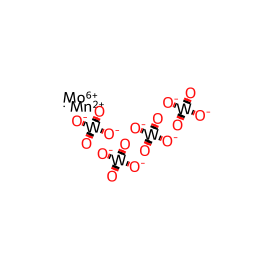 [Mn+2].[Mo+6].[O]=[W](=[O])([O-])[O-].[O]=[W](=[O])([O-])[O-].[O]=[W](=[O])([O-])[O-].[O]=[W](=[O])([O-])[O-]